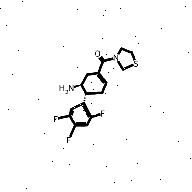 N[C@H]1CC(C(=O)N2CCSC2)=CC[C@@H]1c1cc(F)c(F)cc1F